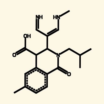 CN/C=C(\C=N)C1C(C(=O)O)c2cc(C)ccc2C(=O)N1CC(C)C